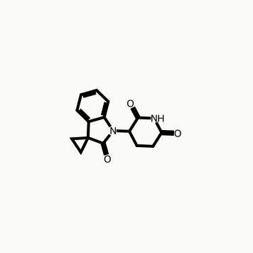 O=C1CCC(N2C(=O)C3(CC3)c3ccccc32)C(=O)N1